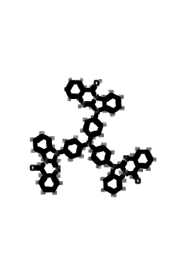 O=c1c2ccccc2nc2n(-c3ccc(N(c4ccc(-n5c6ccccc6n6c(=O)c7ccccc7nc56)cc4)c4ccc(-n5c6ccccc6n6c(=O)c7ccccc7nc56)cc4)cc3)c3ccccc3n12